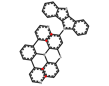 c1ccc2c(c1)Sc1cc(-n3c4ccccc4c4sc5ccccc5c43)ccc1B2c1c(-c2ccncc2)cccc1-c1ccncc1